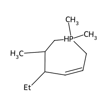 CCC1C=CC[PH](C)(C)CC1C